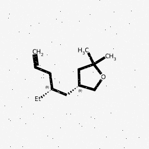 C=CC[C@@H](CC)C[C@H]1COC(C)(C)C1